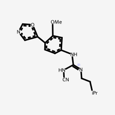 COc1cc(N/C(=N/CCC(C)C)NC#N)ccc1-c1cnco1